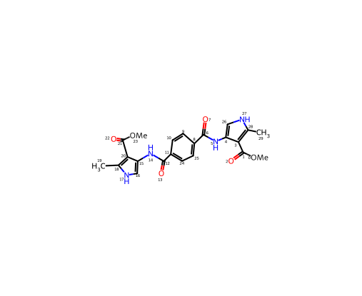 COC(=O)c1c(NC(=O)c2ccc(C(=O)Nc3c[nH]c(C)c3C(=O)OC)cc2)c[nH]c1C